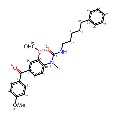 COc1ccc(C(=O)c2ccc(N(C)C(=O)NCCCCCc3ccccc3)c(OC=O)c2)cc1